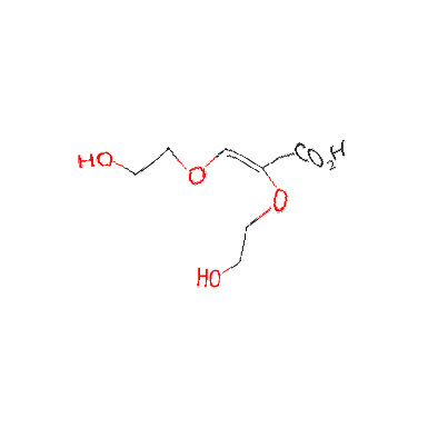 O=C(O)C(=COCCO)OCCO